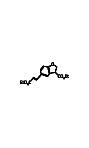 CCOC(=O)/C=C/c1ccc2c(c1)C(C(=O)OCC)CO2